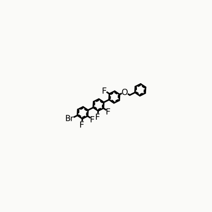 Fc1cc(OCc2ccccc2)ccc1-c1ccc(-c2ccc(Br)c(F)c2F)c(F)c1F